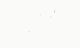 Cn1nc(-c2ccc(S(C)(=O)=O)cc2)sc1=Nc1cccc(C(=O)O)c1